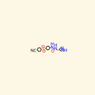 N#Cc1ccc(S(=O)(=O)c2ccc(NC(=O)NCc3cn[nH]c3)cc2)cc1